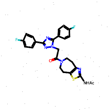 CC(=O)Nc1nc2c(s1)CCN(C(=O)Cn1nc(-c3ccc(F)cc3)nc1-c1ccc(F)cc1)CC2